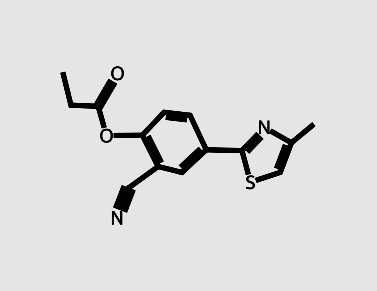 CCC(=O)Oc1ccc(-c2nc(C)cs2)cc1C#N